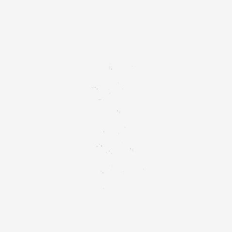 CCN(C)c1cc(C)nc2c(C(=O)N3CCC4(CC3)c3ccc(C(F)(F)F)n3CCN4C)cnn12